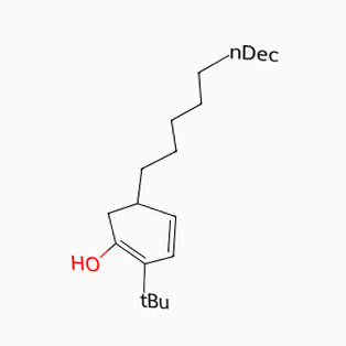 CCCCCCCCCCCCCCCC1C=CC(C(C)(C)C)=C(O)C1